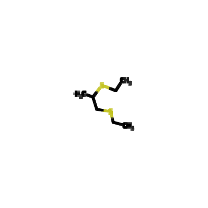 [CH2]C(CSCC)SCC